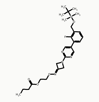 CCCC(=O)OCCON=C1CN(c2ncc(-c3cccc(CO[Si](C)(C)C(C)(C)C)c3F)cn2)C1